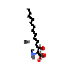 CCCCCCCCCCCC(=O)[C@@H](C(=O)[O-])N(C)C.[Na+]